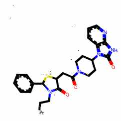 CC(C)CCN1C(=O)C(CC(=O)N2CCC(n3c(=O)[nH]c4ncccc43)CC2)SC1c1ccccc1